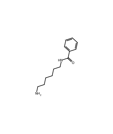 NCCCCCCNC(=O)c1c[c]ccc1